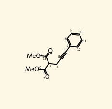 COC(=O)C(CC#Cc1ccccc1)C(=O)OC